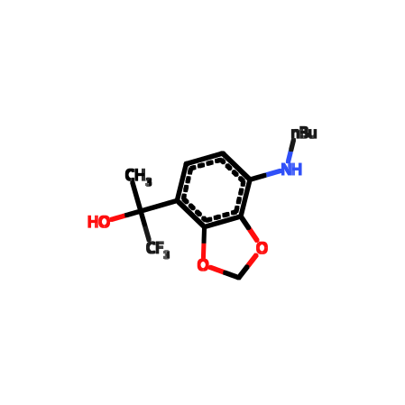 CCCCNc1ccc(C(C)(O)C(F)(F)F)c2c1OCO2